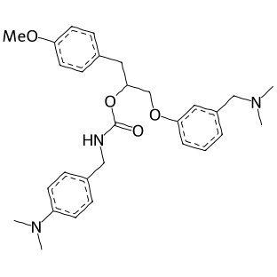 COc1ccc(CC(COc2cccc(CN(C)C)c2)OC(=O)NCc2ccc(N(C)C)cc2)cc1